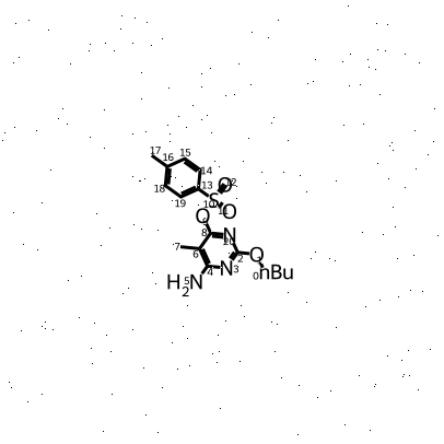 CCCCOc1nc(N)c(C)c(OS(=O)(=O)c2ccc(C)cc2)n1